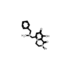 CC(C)N1CCn2c(CN(C)Cc3ccccc3)cc(=O)c(O)c2C1=O